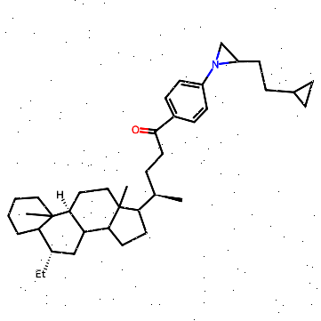 CC[C@H]1CC2C3CCC([C@H](C)CCC(=O)c4ccc(N5CC5CCC5CC5)cc4)C3(C)CC[C@@H]2C2(C)CCCCC12